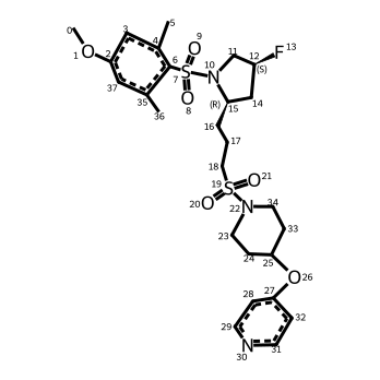 COc1cc(C)c(S(=O)(=O)N2C[C@@H](F)C[C@H]2CCCS(=O)(=O)N2CCC(Oc3ccncc3)CC2)c(C)c1